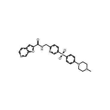 CN1CCN(c2ccc(S(=O)(=O)c3ccc(CNC(=O)c4cc5ccncc5o4)nc3)cc2)CC1